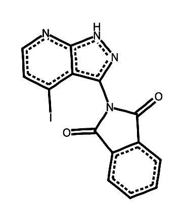 O=C1c2ccccc2C(=O)N1c1n[nH]c2nccc(I)c12